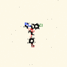 Cc1cc(Cl)ccc1C1(Cn2ccnc2)OCC(COc2ccc(Br)cc2)O1